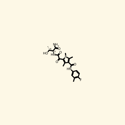 Cc1cc(NC(=O)c2c(C)c(C(=O)C(=O)N[C@H](C(N)=O)[C@@H](C)O)n(C)c2C)ccc1F